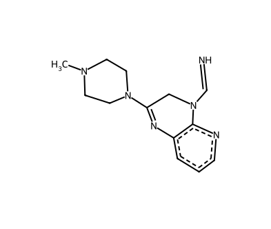 CN1CCN(C2=Nc3cccnc3N(C=N)C2)CC1